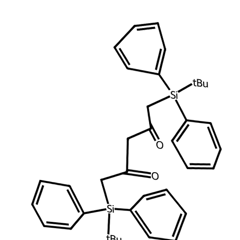 CC(C)(C)[Si](CC(=O)CC(=O)C[Si](c1ccccc1)(c1ccccc1)C(C)(C)C)(c1ccccc1)c1ccccc1